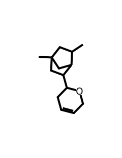 CC1CC2(C)CC1C(C1CC=CCO1)C2